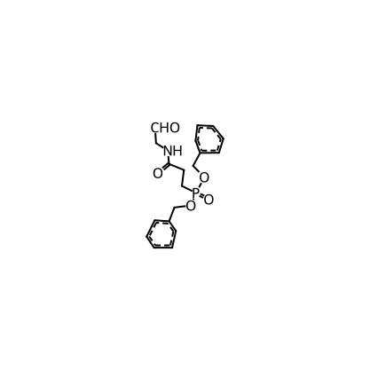 O=CCNC(=O)CCP(=O)(OCc1ccccc1)OCc1ccccc1